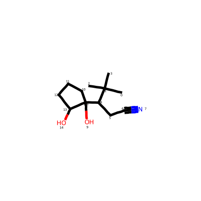 CC(C)(C)C(CC#N)C1(O)CCCC1O